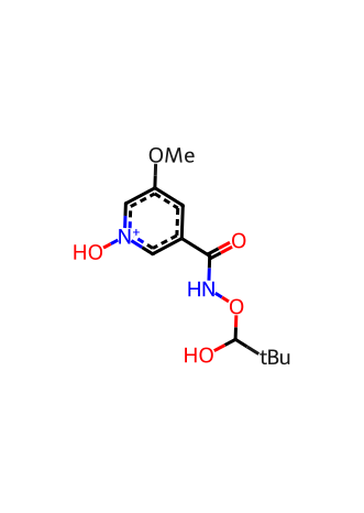 COc1cc(C(=O)NOC(O)C(C)(C)C)c[n+](O)c1